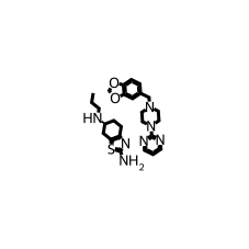 CCCN[C@H]1CCc2nc(N)sc2C1.c1cnc(N2CCN(Cc3ccc4c(c3)OCO4)CC2)nc1